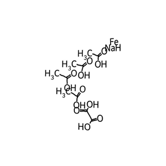 CC(=O)O.CC(=O)O.CC(=O)O.CC(=O)O.O=C(O)C(=O)O.[Fe].[NaH]